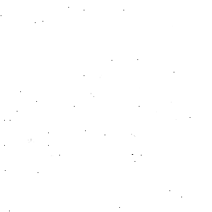 COC(=O)c1cc2c(cc1F)NC(C1CC1)C(C)C2NC(=O)OCc1ccccc1